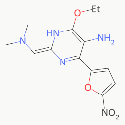 CCOC1=C(N)C(c2ccc([N+](=O)[O-])o2)=NC(=CN(C)C)N1